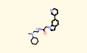 CN(CCNC(=O)Cn1ccc2ccc(-c3cccnc3)cc21)C1CCCCC1